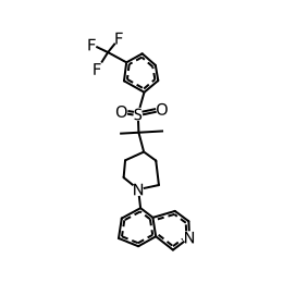 CC(C)(C1CCN(c2cccc3cnccc23)CC1)S(=O)(=O)c1cccc(C(F)(F)F)c1